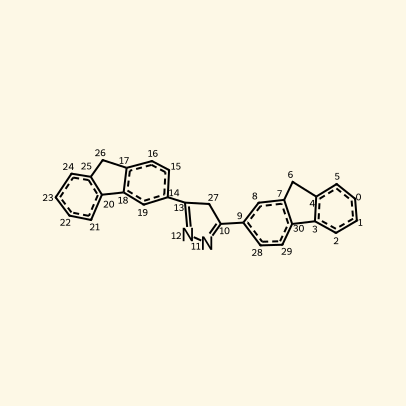 c1ccc2c(c1)Cc1cc(C3=NN=C(c4ccc5c(c4)-c4ccccc4C5)C3)ccc1-2